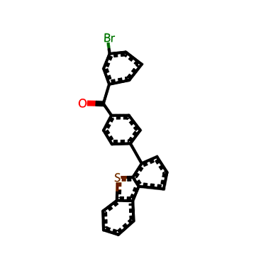 O=C(c1ccc(-c2cccc3c2sc2ccccc23)cc1)c1cccc(Br)c1